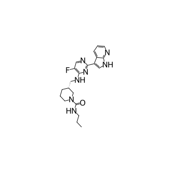 CCCNC(=O)N1CCC[C@H](CNc2nc(-c3c[nH]c4ncccc34)ncc2F)C1